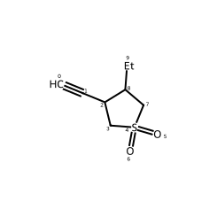 C#CC1CS(=O)(=O)CC1CC